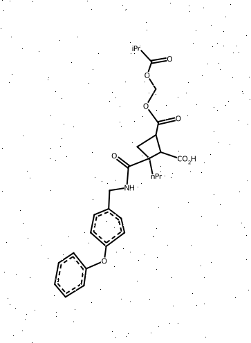 CCCC1(C(=O)NCc2ccc(Oc3ccccc3)cc2)CC(C(=O)OCOC(=O)C(C)C)C1C(=O)O